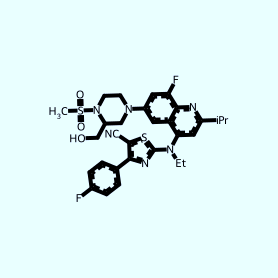 CCN(c1nc(-c2ccc(F)cc2)c(C#N)s1)c1cc(C(C)C)nc2c(F)cc(N3CCN(S(C)(=O)=O)C(CO)C3)cc12